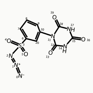 [N-]=[N+]=NS(=O)(=O)c1cccc(-n2c(=O)[nH]c(=O)[nH]c2=O)c1